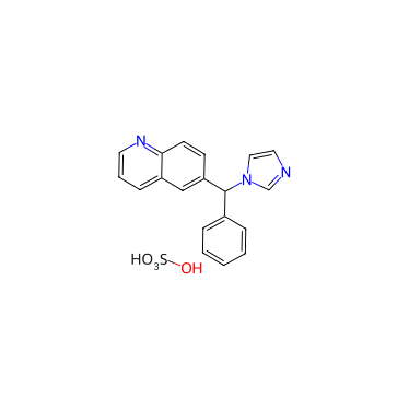 O=S(=O)(O)O.c1ccc(C(c2ccc3ncccc3c2)n2ccnc2)cc1